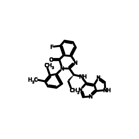 CC[C@@H](Nc1ncnc2[nH]cnc12)c1nc2cccc(F)c2c(=O)n1-c1cccc(C)c1C